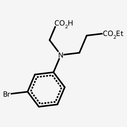 CCOC(=O)CCN(CC(=O)O)c1cccc(Br)c1